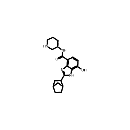 O=C(NC1CCCNC1)c1ccc(O)c2[nH]c(C3CC4CCC3C4)nc12